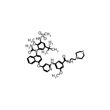 COc1cc(Nc2cc(Oc3ccc(N(C(N)=O)c4cc(C(C)(C)C)cc(NS(C)(=O)=O)c4OC)c4ccccc34)ccn2)cc(C(=O)NCCN2CCSCC2)c1